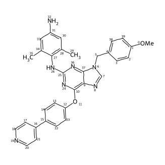 COc1ccc(Cn2cnc3c(Oc4ccc(-c5ccncc5)cc4)nc(Nc4c(C)cc(N)cc4C)nc32)cc1